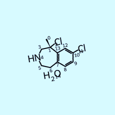 C[C@]1(Cl)CNCCc2ccc(Cl)cc21.O